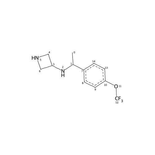 CC(NC1CNC1)c1ccc(OC(F)(F)F)cc1